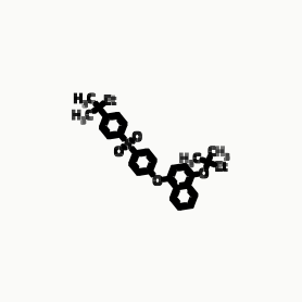 CCC(C)(C)Oc1ccc(Oc2ccc(S(=O)(=O)c3ccc(C(C)(C)CC)cc3)cc2)c2ccccc12